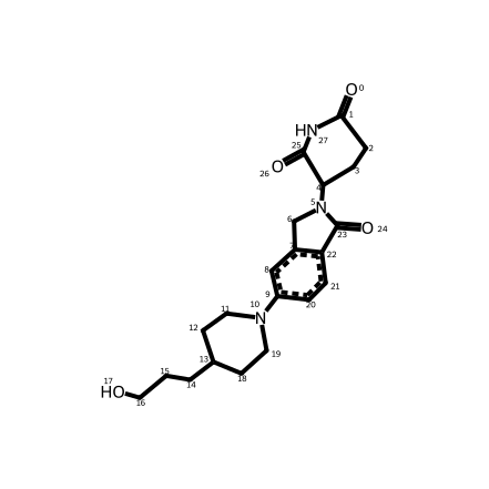 O=C1CCC(N2Cc3cc(N4CCC(CCCO)CC4)ccc3C2=O)C(=O)N1